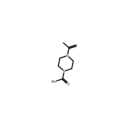 C=C(C)N1CCN(C(=O)C(C)(C)C)CC1